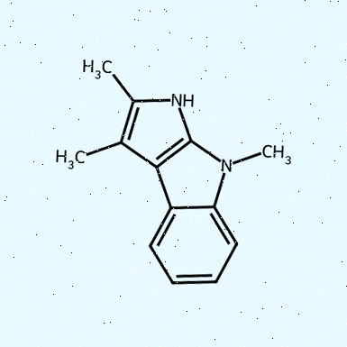 Cc1[nH]c2c(c1C)c1ccccc1n2C